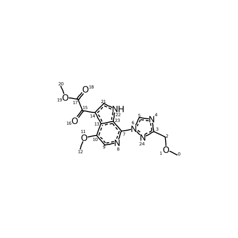 COCc1ncn(-c2ncc(OC)c3c(C(=O)C(=O)OC)c[nH]c23)n1